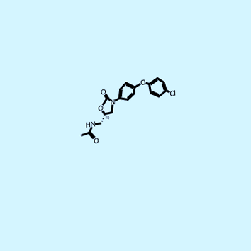 CC(=O)NC[C@H]1CN(c2ccc(Oc3ccc(Cl)cc3)cc2)C(=O)O1